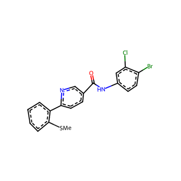 CSc1ccccc1-c1ccc(C(=O)Nc2ccc(Br)c(Cl)c2)cn1